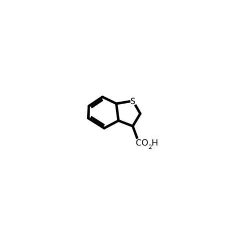 O=C(O)C1CSC2C=CC=CC21